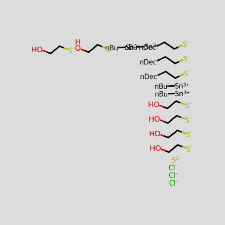 CCCCCCCCCCCC[S-].CCCCCCCCCCCC[S-].CCCCCCCCCCCC[S-].CCC[CH2][Sn+3].CCC[CH2][Sn+3].CCC[CH2][Sn+3].CCC[CH2][Sn+3].OCC[S-].OCC[S-].OCC[S-].OCC[S-].OCC[S-].OCC[S-].[Cl-].[Cl-].[Cl-].[S-2]